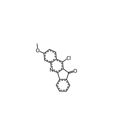 COc1ccc2c(Cl)c3c(nc2c1)-c1ccccc1C3=O